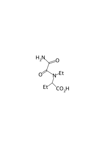 CCC(C(=O)O)N(CC)C(=O)C(N)=O